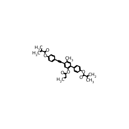 C=CC(=O)Oc1cc(C#Cc2ccc(OC(=O)C(=C)C)cc2)c(C)cc1-c1ccc(OC(=O)C(=C)C)cc1